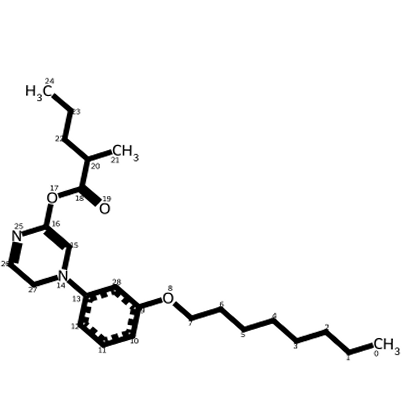 CCCCCCCCOc1cccc(N2C=C(OC(=O)C(C)CCC)N=CC2)c1